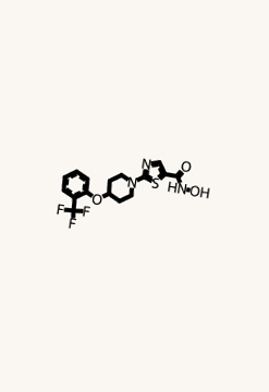 O=C(NO)c1cnc(N2CCC(Oc3ccccc3C(F)(F)F)CC2)s1